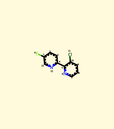 Fc1ccc(-c2ncccc2Cl)nc1